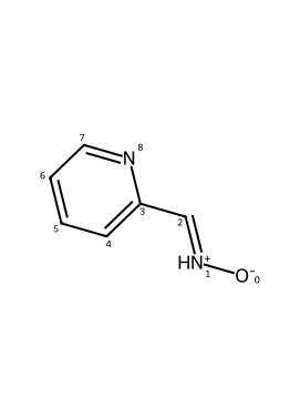 [O-][NH+]=Cc1ccccn1